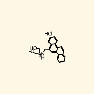 COCC(C)(CO)NCc1cc2c3ccccc3ccc2c2ccccc12.Cl